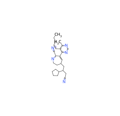 CCC/C=C\c1c(C)ncnc1C1=CC(CC(CC#N)C2CCCC2)CCN=C1C#N